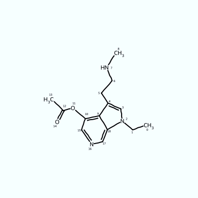 CCn1cc(CCNC)c2c(OC(C)=O)cncc21